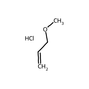 C=CCOC.Cl